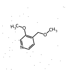 COCc1ccn[c]c1OC